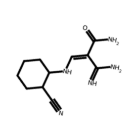 N#CC1CCCCC1N/C=C(\C(=N)N)C(N)=O